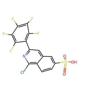 O=S(=O)(O)c1ccc2c(Cl)nc(-c3c(F)c(F)c(F)c(F)c3F)cc2c1